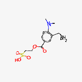 BCc1cc(C(=O)OCCS(=O)(=O)O)ccc1N(C)C